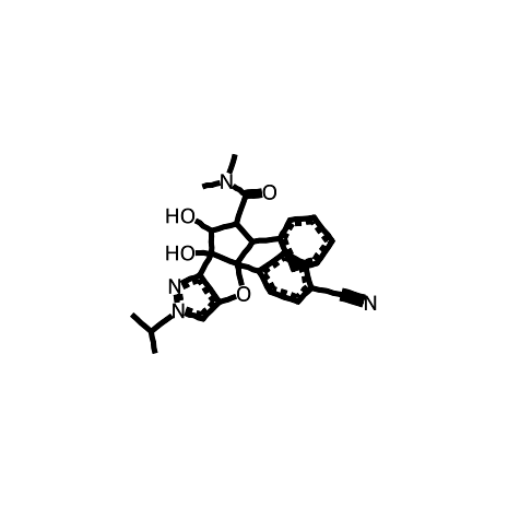 CC(C)n1cc2c(n1)C1(O)C(O)C(C(=O)N(C)C)C(c3ccccc3)C1(c1ccc(C#N)cc1)O2